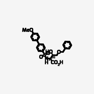 COc1ccc(-c2ccc(S(=O)(=O)N[C@@H](C(=O)O)[C@H](O)COCc3ccccc3)cc2)cc1